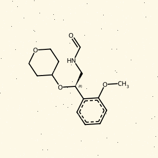 COc1ccccc1[C@H](CNC=O)OC1CCOCC1